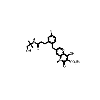 CCOC(=O)c1c(O)c2ncc(Cc3ccc(F)cc3CCC(=O)NC(C)(C)CO)cc2n(C)c1=O